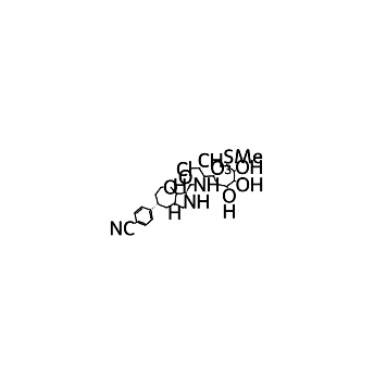 CSC1OC([C@H](NC(=O)[C@H]2NC[C@@H]3C[C@H](c4ccc(C#N)cc4)CCO[C@H]32)[C@H](C)Cl)CC(O)C(O)[C@H]1O